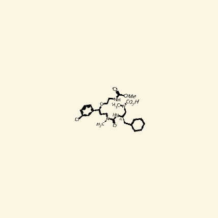 COC(=O)NCCOC(CCN(C)C(=O)N[C@H](CC1CCCCC1)CN(C)C(=O)O)c1cccc(Cl)c1